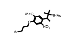 COc1cc(C(C)C(C)(C)NC(C)=O)c([N+](=O)[O-])cc1OCCCC(C)=O